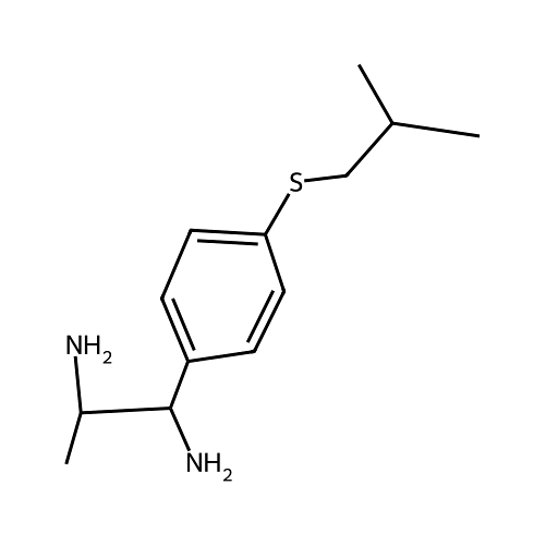 CC(C)CSc1ccc(C(N)C(C)N)cc1